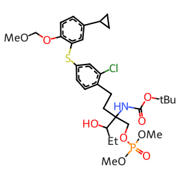 CCC(O)C(CCc1ccc(Sc2cc(C3CC3)ccc2OCOC)cc1Cl)(COP(=O)(OC)OC)NC(=O)OC(C)(C)C